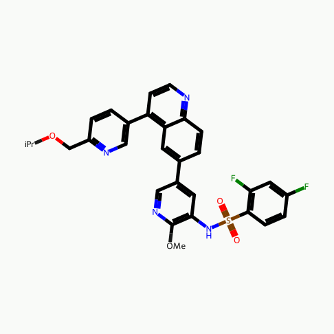 COc1ncc(-c2ccc3nccc(-c4ccc(COC(C)C)nc4)c3c2)cc1NS(=O)(=O)c1ccc(F)cc1F